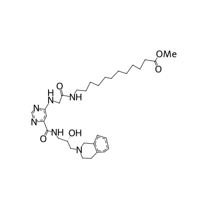 COC(=O)CCCCCCCCCCCNC(=O)CNc1cc(C(=O)NC[C@H](O)CN2CCc3ccccc3C2)ncn1